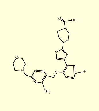 Cc1cc(CN2CCOCC2)ccc1COc1ccc(F)cc1-c1csc(C2CCC(C(=O)O)CC2)n1